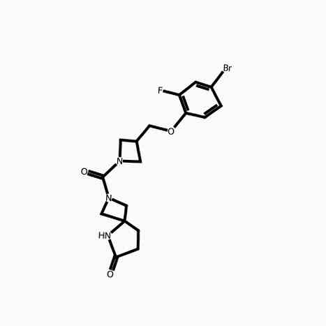 O=C1CCC2(CN(C(=O)N3CC(COc4ccc(Br)cc4F)C3)C2)N1